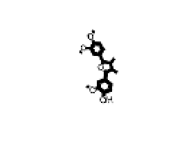 COc1cc(C2OC(c3ccc(OC)c(OC)c3)C(C)C2C)ccc1O